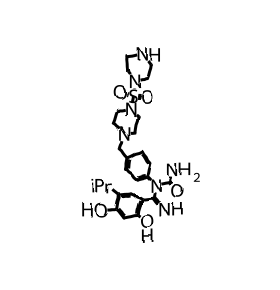 CC(C)c1cc(C(=N)N(C(N)=O)c2ccc(CN3CCN(S(=O)(=O)N4CCNCC4)CC3)cc2)c(O)cc1O